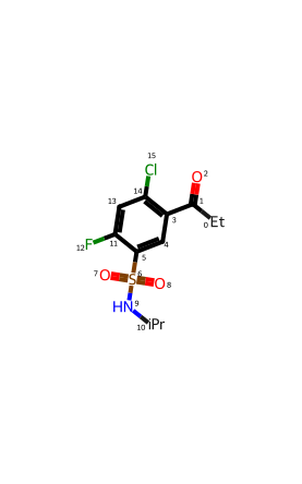 CCC(=O)c1cc(S(=O)(=O)NC(C)C)c(F)cc1Cl